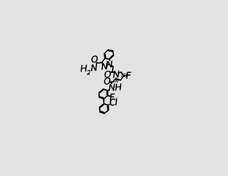 NC(=O)c1nn(CC(=O)N2C[C@@H](F)C[C@H]2C(=O)Nc2cccc(-c3ccccc3Cl)c2F)c2ccccc12